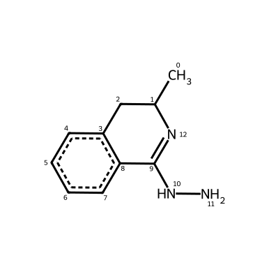 CC1Cc2ccccc2C(NN)=N1